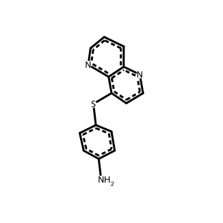 Nc1ccc(Sc2ccnc3cccnc23)cc1